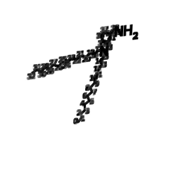 CCCCCCCCCCCCCCCCN(CCCCCCCCCCCCCCCC)Cc1cccc(CN)c1